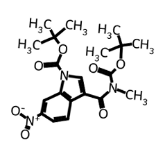 CN(C(=O)OC(C)(C)C)C(=O)c1cn(C(=O)OC(C)(C)C)c2cc([N+](=O)[O-])ccc12